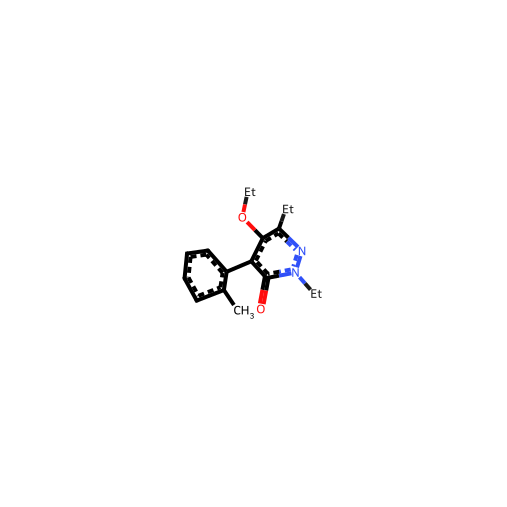 CCOc1c(CC)nn(CC)c(=O)c1-c1ccccc1C